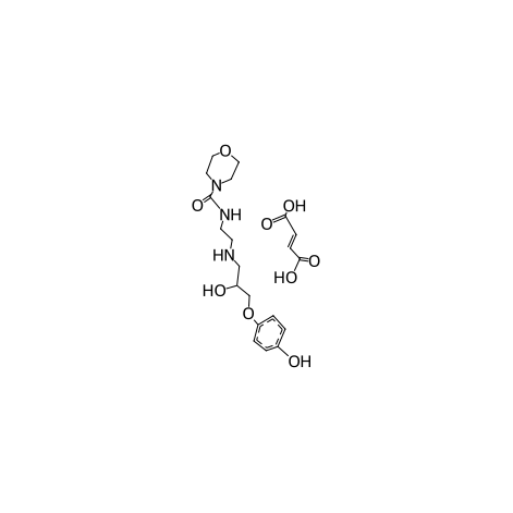 O=C(NCCNCC(O)COc1ccc(O)cc1)N1CCOCC1.O=C(O)/C=C/C(=O)O